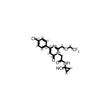 N#CC1(NC(=O)Cn2c(COCC(F)(F)F)nc(-c3ccc(Cl)cc3)cc2=O)CC1